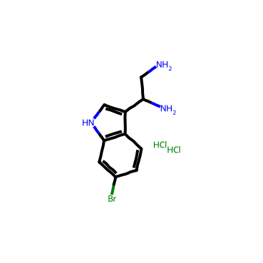 Cl.Cl.NCC(N)c1c[nH]c2cc(Br)ccc12